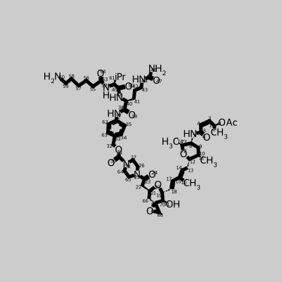 CC(=O)O[C@@H](C)/C=C\C(=O)N[C@@H]1C[C@H](C)[C@H](C/C=C(C)/C=C/[C@H]2O[C@H](CC(=O)N3CCN(C(=O)OCc4ccc(NC(=O)[C@H](CCCNC(N)=O)NC(=O)[C@@H](NC(=O)CCCCCN)C(C)C)cc4)CC3)C[C@@]3(CO3)[C@@H]2O)O[C@@H]1C